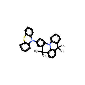 CC1(C)c2ccccc2N2c3ccc(N4c5ccccc5Sc5ccccc54)cc3C(C)(C)c3cccc1c32